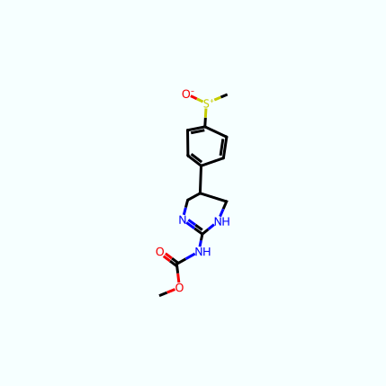 COC(=O)NC1=NCC(c2ccc([S+](C)[O-])cc2)CN1